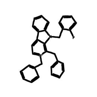 Fc1ccccc1Cn1c2ccccc2c2cc[n+](Cc3ccccc3)c(Cc3ccccc3)c21